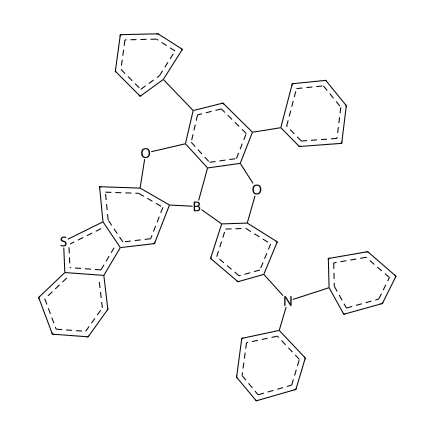 c1ccc(-c2cc(-c3ccccc3)c3c4c2Oc2cc(N(c5ccccc5)c5ccccc5)ccc2B4c2cc4c(cc2O3)sc2ccccc24)cc1